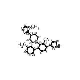 Cc1cc(-c2ccc(-c3cc[nH]n3)c(C#N)c2N2CCC(c3nncn3C)CC2)cnn1